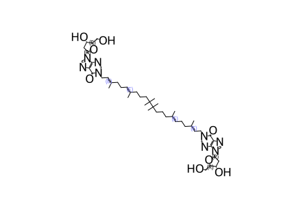 C/C(=C\Cn1cnc2c(ncn2[C@H]2CC(O)[C@@H](CO)O2)c1=O)CC/C=C(\C)CCCC(C)(C)C(C)(C)CCC/C(C)=C/CC/C(C)=C/Cn1cnc2c(ncn2[C@H]2CC(O)[C@@H](CO)O2)c1=O